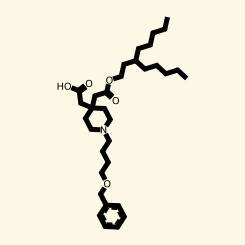 CCCCCC(CCCCC)CCOC(=O)CC1(CC(=O)O)CCN(CCCCOCc2ccccc2)CC1